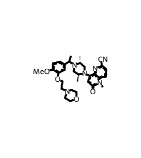 COc1ccc(C(C)N2C[C@H](C)N(c3cc(=O)n(C)c4ccc(C#N)nc34)C[C@H]2C)cc1OCCN1CCOCC1